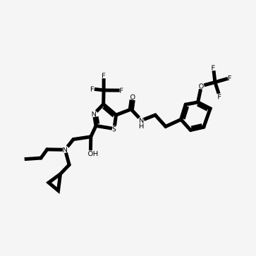 CCCN(CC1CC1)CC(O)c1nc(C(F)(F)F)c(C(=O)NCCc2cccc(OC(F)(F)F)c2)s1